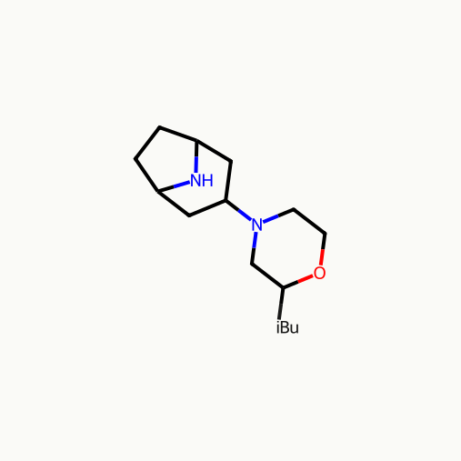 CCC(C)C1CN(C2CC3CCC(C2)N3)CCO1